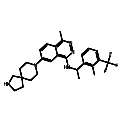 Cc1c(C(C)Nc2nnc(C)c3ccc(N4CCC5(CCNC5)CC4)cc23)cccc1C(F)(F)F